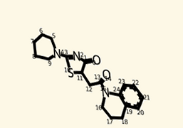 O=C1N=C(N2CCCCC2)SC1CC(=O)N1CCCc2ccccc21